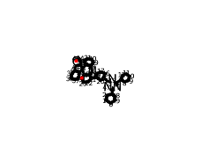 c1ccc(-c2nc(-c3ccccc3)nc(-c3ccc4c(c3)c3cccc5c3n4-c3ccccc3C53c4ccccc4-c4ccccc43)n2)cc1